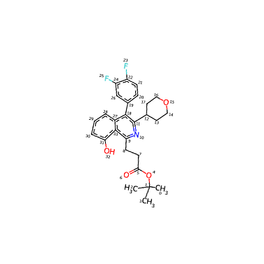 CC(C)(C)OC(=O)CCc1nc(C2CCOCC2)c(-c2ccc(F)c(F)c2)c2cccc(O)c12